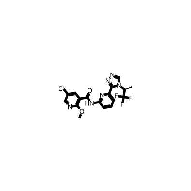 COc1ncc(Cl)cc1C(=O)Nc1cccc(-c2nncn2[C@@H](C)C(F)(F)F)n1